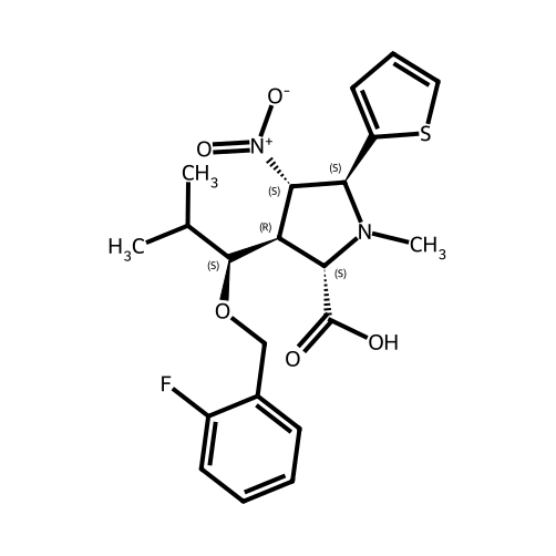 CC(C)[C@H](OCc1ccccc1F)[C@H]1[C@H]([N+](=O)[O-])[C@@H](c2cccs2)N(C)[C@@H]1C(=O)O